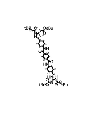 CC(C)(C)OC(=O)/N=C(\NCC1CCC(NC(=O)c2ccc(C(=O)NC3CCC(CN/C(=N\C(=O)OC(C)(C)C)NC(=O)OC(C)(C)C)CC3)cc2)CC1)NC(=O)OC(C)(C)C